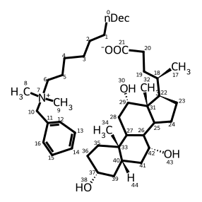 CCCCCCCCCCCCCCCC[N+](C)(C)Cc1ccccc1.C[C@H](CCC(=O)[O-])[C@H]1CCC2C3C(C[C@H](O)[C@@]21C)[C@@]1(C)CC[C@@H](O)C[C@H]1C[C@H]3O